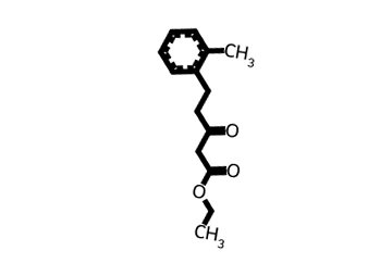 CCOC(=O)CC(=O)CCc1ccccc1C